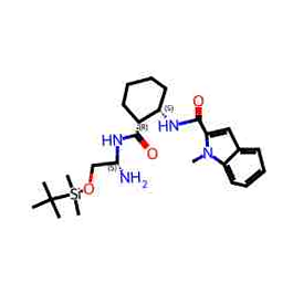 Cn1c(C(=O)N[C@H]2CCCC[C@H]2C(=O)N[C@H](N)CO[Si](C)(C)C(C)(C)C)cc2ccccc21